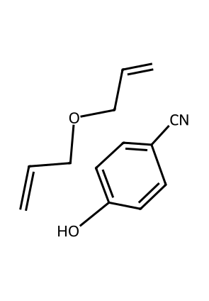 C=CCOCC=C.N#Cc1ccc(O)cc1